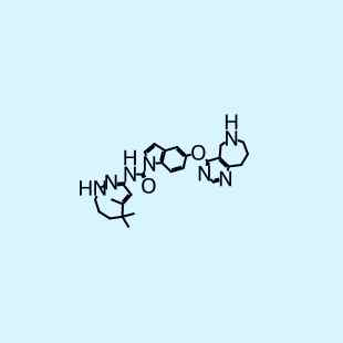 C/C1=C\C(NC(=O)n2ccc3cc(Oc4ncnc5c4CNCCC5)ccc32)=N/NCCCC1(C)C